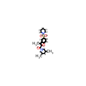 Cc1c(C(=O)N2CC(C)CC(C)C2)oc2ccc(S(=O)(=O)N3CCCCC3)cc12